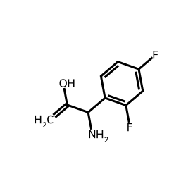 C=C(O)C(N)c1ccc(F)cc1F